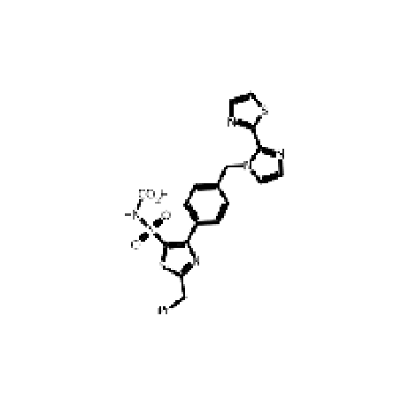 CC(C)Cc1nc(-c2ccc(Cn3ccnc3-c3nccs3)cc2)c(S(=O)(=O)NC(=O)O)s1